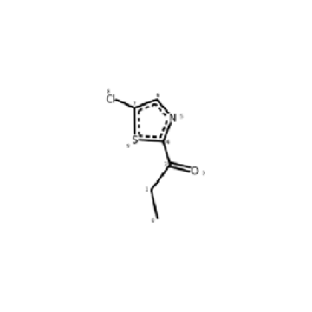 CCC(=O)c1ncc(Cl)s1